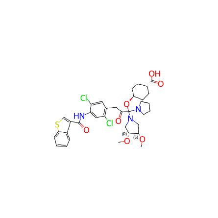 CO[C@H]1CN(C(O[C@H]2CC[C@H](C(=O)O)CC2)(C(=O)Cc2cc(Cl)c(NC(=O)c3csc4ccccc34)cc2Cl)N2CCCC2)C[C@H]1OC